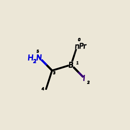 CCCB(I)C(C)N